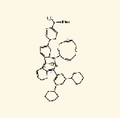 CCCCCCC(C)C1=CCC(C2=CC=C3/C(C)=C4\C=CCC\C4=C(/C4=CC(C5CCCCC5)CC(C5CCCCC5)C4)CN(C4/C=C\CCC/C=C\CC4)C3C2)C=C1